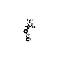 Cc1c(-c2cccc(NCc3cccnc3)c2)sc(C(=O)O)c1OCC(=O)O